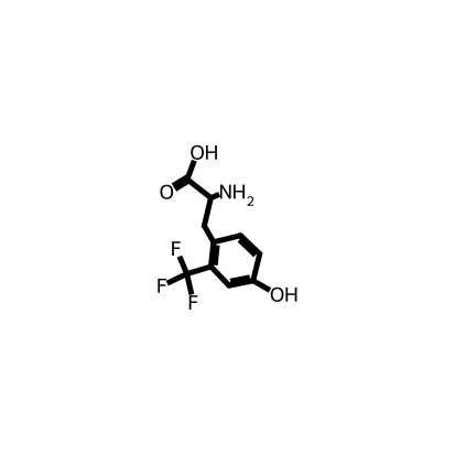 NC(Cc1ccc(O)cc1C(F)(F)F)C(=O)O